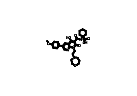 COc1ccc(-c2cnc3c(c2)c(O)c(C(=O)NC2(C(=O)O)CCCCC2)c(=O)n3CCN2CCCOCC2)cc1